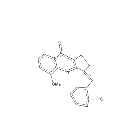 COc1cccn2c(=O)c3c(nc12)/C(=C\c1ccccc1Cl)CC3